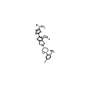 CC(F)n1nnc(-c2nc3c(n2C)CN([C@H]2CO[C@H](c4cc(F)ccc4F)[C@@H](N)C2)C3)n1